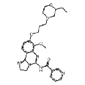 CCC1CN(CCCOc2ccc3c(c2OC)N=C(NC(=O)c2cccnc2)N2CCN=C32)CCO1